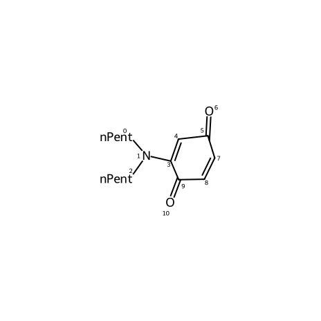 CCCCCN(CCCCC)C1=CC(=O)C=CC1=O